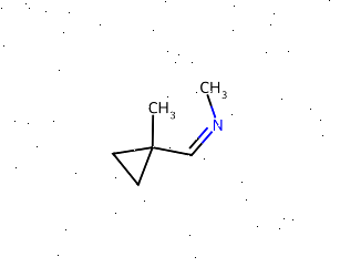 C/N=C\C1(C)CC1